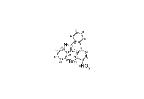 O=[N+]([O-])c1cccc(-n2c(-c3ccccc3)nc3ccccc32)c1Br